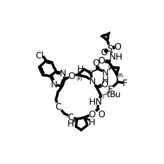 CC(C)(C)[C@@H]1NC(=O)O[C@@H]2CCC[C@H]2CCCCCc2nc3ccc(Cl)cc3nc2O[C@@H]2C[C@@H](C(=O)N[C@]3(C(=O)NS(=O)(=O)C4CC4)C[C@H]3C(F)F)N(C2)C1=O